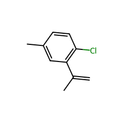 C=C(C)c1cc(C)ccc1Cl